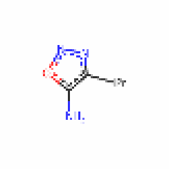 CC(C)c1nnoc1N